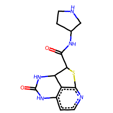 O=C1Nc2ccnc3c2C(N1)C(C(=O)NC1CCNC1)S3